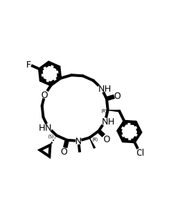 C[C@@H]1C(=O)N[C@H](Cc2ccc(Cl)cc2)C(=O)NCCCc2ccc(F)cc2OCCN[C@@H](C2CC2)C(=O)N1C